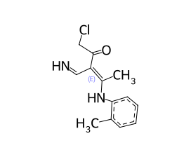 C/C(Nc1ccccc1C)=C(/C=N)C(=O)CCl